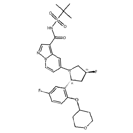 CC(C)(C)S(=O)(=O)NC(=O)c1cnn2ccc(N3C[C@@H](F)C[C@@H]3c3cc(F)ccc3OC3CCOCC3)cc12